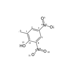 [CH2]c1cc([N+](=O)[O-])cc([N+](=O)[O-])c1O